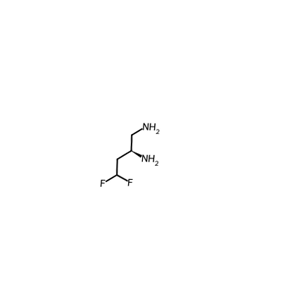 NC[C@@H](N)CC(F)F